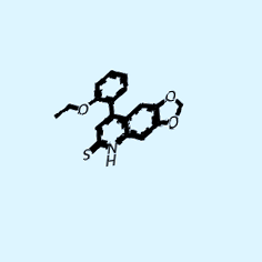 CCOc1ccccc1-c1cc(=S)[nH]c2cc3c(cc12)OCO3